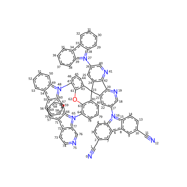 N#Cc1ccc2c(c1)c1cc(C#N)ccc1n2-c1cnc2c(c1)C1(c3cc(-n4c5ccccc5c5ccccc54)cnc3-2)c2cccc(-n3c4ccccc4c4ccccc43)c2Oc2c(-n3c4ccccc4c4ccncc43)cccc21